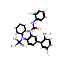 BC(B)(C(C)C)N(c1ccc(-c2cc(F)ccc2C(=O)O)cc1NC(=O)Nc1ccccc1F)C1CCCCC1